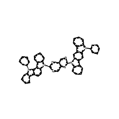 c1ccc(-n2c3ccccc3c3cc4c(cc32)c2ccccc2n4-c2ncc3nc(-n4c5ccccc5c5c4ccc4c6ccccc6n(-c6ccccc6)c45)ncc3n2)cc1